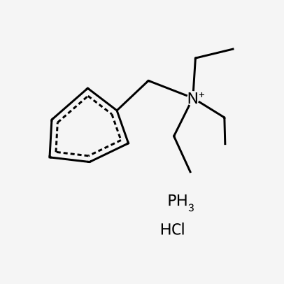 CC[N+](CC)(CC)Cc1ccccc1.Cl.P